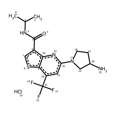 CC(C)NC(=O)c1csc2c(C(F)(F)F)cc(N3CCC(N)C3)nc12.Cl